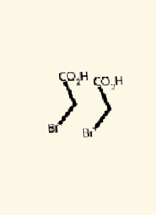 O=C(O)CBr.O=C(O)CBr